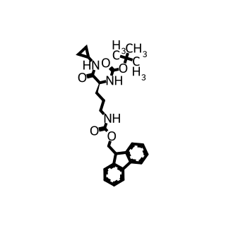 CC(C)(C)OC(=O)N[C@@H](CCCNC(=O)OCC1c2ccccc2-c2ccccc21)C(=O)NC1CC1